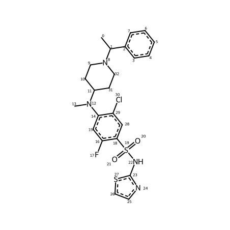 CC(c1ccccc1)N1CCC(N(C)c2cc(F)c(S(=O)(=O)Nc3nccs3)cc2Cl)CC1